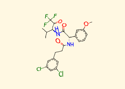 COc1cccc([C@H](NC(=O)CCc2cc(Cl)cc(Cl)c2)C(=O)N[C@H](C(=O)C(F)(F)F)C(C)C)c1